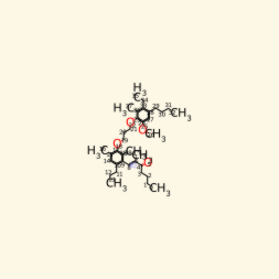 CCCCC(=O)/C(C)=C/c1c(CCC)cc(C)c(OCCCOc2c(OC)cc(CCCC)c(CC)c2C)c1C